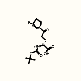 CC(C)(C)OC(=O)N[C@H](CCC(=O)N1CC[C@H](F)C1)C(=O)O